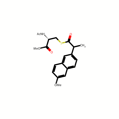 COC(=O)[C@@H](CSC(=O)C(C)c1ccc2cc(OC)ccc2c1)NC(C)=O